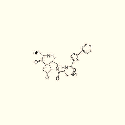 CCCC(N)C(=O)N1CC(=O)C2C1CCN2C(=O)C(CC(C)C)NC(=O)c1ccc(-c2ccccc2)s1